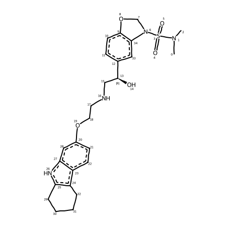 CN(C)S(=O)(=O)N1COc2ccc([C@@H](O)CNCCOc3ccc4c5c([nH]c4c3)CCCC5)cc21